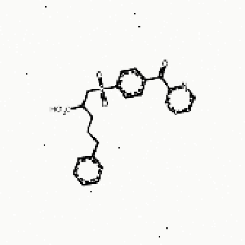 O=C(c1ccc(S(=O)(=O)CC(CCCc2ccccc2)C(=O)O)cc1)c1ccccn1